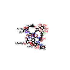 CNCCOc1cc(OCCNC)cc(C(=O)NC(=O)C[C@@H]2NC(=O)[C@H](NC(=O)[C@@H](CC(C)C)NC)[C@H](O)c3ccc(c(C)c3)Oc3cc4cc(c3O[C@@H]3O[C@H](CO)[C@@H](O)[C@H](O)[C@H]3O)Oc3ccc(cc3Cl)[C@@H](O)[C@@H]3NC(=O)[C@H](NC(=O)[C@@H]4NC2=O)c2ccc4c(c2)-c2c(cc(O)cc2C4(O)O)[C@@H](C(=O)NC2C4CC5CC(C4)CC2C5)NC3=O)c1